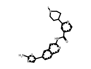 Nc1ncc(-c2ccc3cnc(NC(=O)c4ccnc(C5CCN(I)CC5)c4)cc3c2)s1